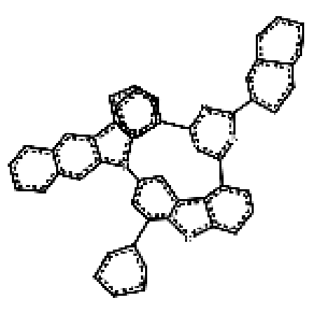 c1ccc(-c2nc(-c3ccc4ccccc4c3)nc(-c3cccc4oc5c(-c6ccccc6)cc(-n6c7ccccc7c7cc8ccccc8cc76)cc5c34)n2)cc1